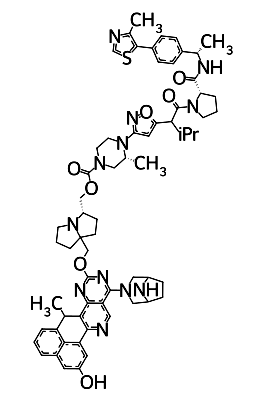 Cc1ncsc1-c1ccc([C@H](C)NC(=O)[C@@H]2CCCN2C(=O)C(c2cc(N3CCN(C(=O)OC[C@@H]4CCC5(COc6nc(N7CC8CCC(C7)N8)c7cnc8c(c7n6)C(C)c6cccc7cc(O)cc-8c67)CCCN45)C[C@H]3C)no2)C(C)C)cc1